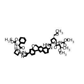 COC[C@H]1C[C@@H](c2nc3ccc4cc5c(cc4c3[nH]2)COc2cc(-c3cnc([C@@H]4CCCN4C(=O)[C@H](NC(=O)OC)c4ccccc4)[nH]3)ccc2-5)N(C(=O)[C@@H](NC(=O)OC)[C@@H](C)OC)C1